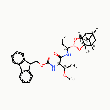 CC(C)C[C@H](NC(=O)[C@@H](NC(=O)OCC1c2ccccc2-c2ccccc21)[C@@H](C)OC(C)(C)C)B1O[C@@H]2C[C@@H]3C[C@@H](C3(C)C)[C@]2(C)O1